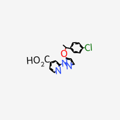 CC(Oc1ccnn1-c1cc(C(=O)O)ccn1)c1ccc(Cl)cc1